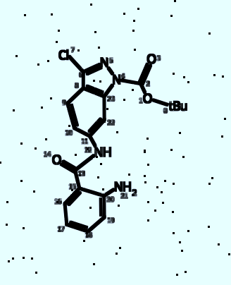 CC(C)(C)OC(=O)n1nc(Cl)c2ccc(NC(=O)c3ccccc3N)cc21